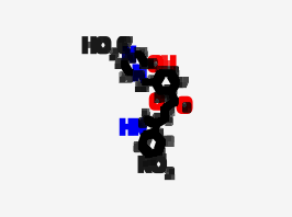 O=C1C(=Cc2c[nH]c3cc([N+](=O)[O-])ccc23)Oc2c1ccc(O)c2CN1CCN(C(=O)O)CC1